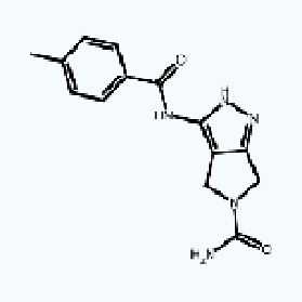 Cc1ccc(C(=O)Nc2[nH]nc3c2CN(C(N)=O)C3)cc1